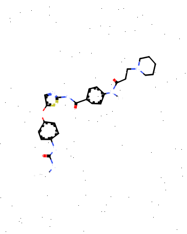 CCCCCNC(=O)Nc1ccc(Oc2cnc(NC(=O)c3ccc(N(CC)C(=O)CCN4CCCCC4)cc3)s2)cc1